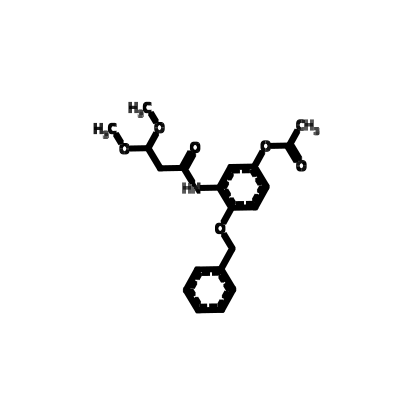 COC(CC(=O)Nc1cc(OC(C)=O)ccc1OCc1ccccc1)OC